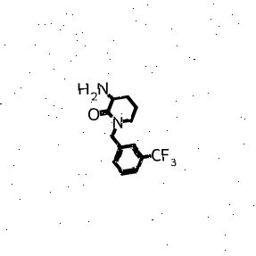 NC1CCCN(Cc2cccc(C(F)(F)F)c2)C1=O